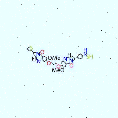 COc1cc2c(cc1OCCCOc1cc3c(cc1OC)C(=O)N1C=C(c4cccs4)C[C@H]1C=N3)N=C[C@@H]1CC(c3ccc(NS)cc3)=CN1C2=O